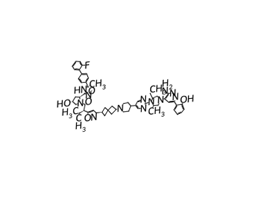 CCC1CN(c2cc(-c3ccccc3O)nnc2N)CC(C)N1c1ncc(C2CCN([C@H]3CC4(C[C@H](c5cc([C@H](C(=O)N6C[C@H](O)C[C@H]6C6=NO[C@](C)(c7ccc(-c8ccccc8F)cc7)N6)C(C)C)on5)C4)C3)CC2)cn1